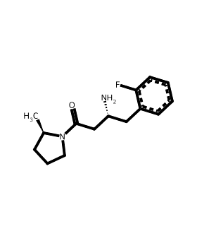 C[C@@H]1CCCN1C(=O)C[C@H](N)Cc1ccccc1F